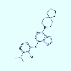 CN(C)c1nccc(Sc2cnc(N3CCC4(CCCC4)CC3)n3ccnc23)c1Cl